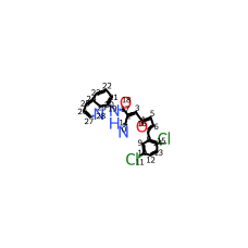 N#CC(=Cc1ccc(-c2cc(Cl)ccc2Cl)o1)C(=O)Nc1cccc2cccnc12